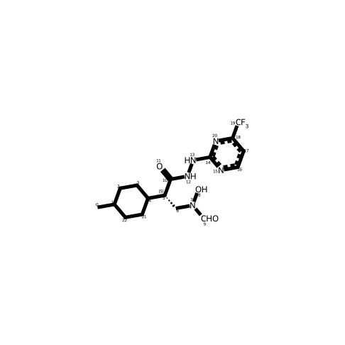 CC1CCC([C@@H](CN(O)C=O)C(=O)NNc2nccc(C(F)(F)F)n2)CC1